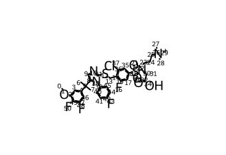 COc1cc(C(C)(C)c2cnc(SCc3c(F)cc(S(=O)(=O)N(CCC[N+](C)(C)C)[C@H](C)C(=O)O)cc3Cl)n2-c2ccc(F)cc2)cc(F)c1F